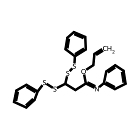 C=CCO/C(CC(SSc1ccccc1)SSc1ccccc1)=N\c1ccccc1